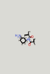 C=C(C)C(=O)N(C(=O)C(=C)C)c1cccc(N)c1